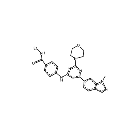 CCNC(=O)c1ccc(Nc2cc(-c3ccc4cnn(C)c4c3)nc(N3CCOCC3)n2)cc1